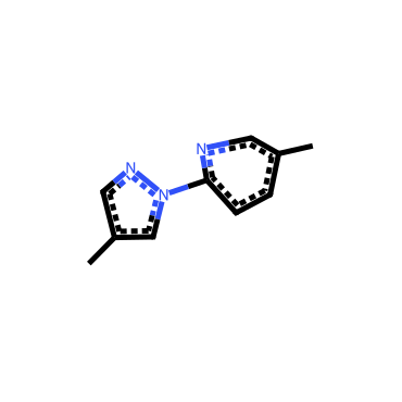 Cc1ccc(-n2cc(C)cn2)nc1